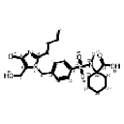 CCCCc1nc(Cl)c(CO)n1Cc1ccc(S(=O)(=O)N(C)C2(C(=O)O)CCCCC2)cc1